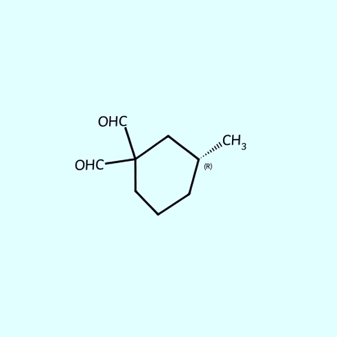 C[C@@H]1CCCC(C=O)(C=O)C1